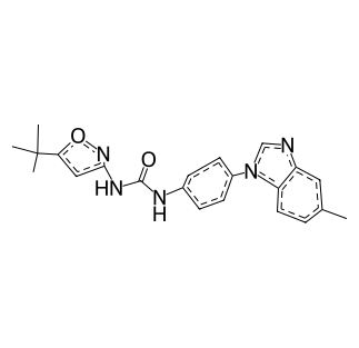 Cc1ccc2c(c1)ncn2-c1ccc(NC(=O)Nc2cc(C(C)(C)C)on2)cc1